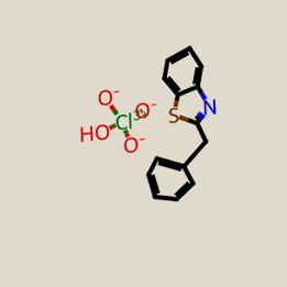 [O-][Cl+3]([O-])([O-])O.c1ccc(Cc2nc3ccccc3s2)cc1